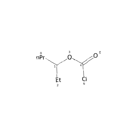 CCCC(CC)OC(=O)Cl